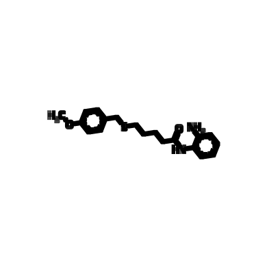 COc1ccc(CSCCCCC(=O)Nc2ccccc2N)cc1